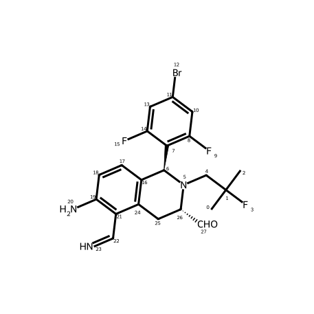 CC(C)(F)CN1[C@H](c2c(F)cc(Br)cc2F)c2ccc(N)c(C=N)c2C[C@H]1C=O